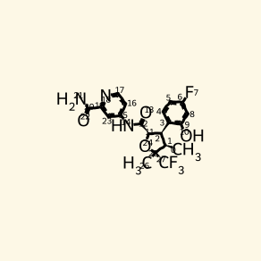 C[C@@H]1[C@H](c2ccc(F)cc2O)[C@H](C(=O)Nc2ccnc(C(N)=O)c2)O[C@]1(C)C(F)(F)F